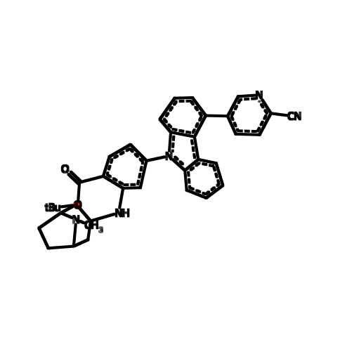 CN1C2CCC1CC(Nc1cc(-n3c4ccccc4c4c(-c5ccc(C#N)nc5)cccc43)ccc1C(=O)OC(C)(C)C)C2